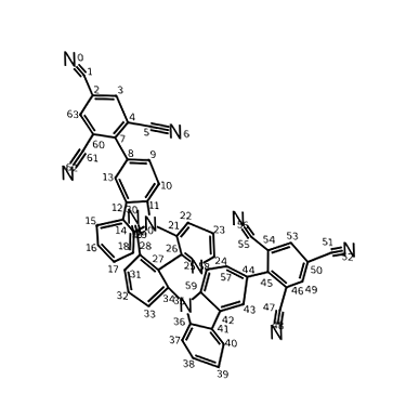 N#Cc1cc(C#N)c(-c2ccc3c(c2)c2ccccc2n3-c2cccnc2-c2c(C#N)cccc2-n2c3ccccc3c3cc(-c4c(C#N)cc(C#N)cc4C#N)ccc32)c(C#N)c1